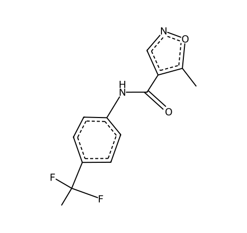 Cc1oncc1C(=O)Nc1ccc(C(C)(F)F)cc1